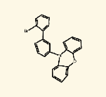 Brc1ccccc1-c1cccc(N2c3ccccc3Oc3ccccc32)c1